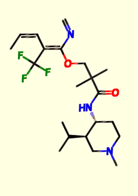 C=N/C(OCC(C)(C)C(=O)N[C@@H]1CCN(C)C[C@H]1C(C)C)=C(\C=C/C)C(F)(F)F